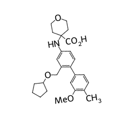 COc1cc(-c2ccc(NC3(C(=O)O)CCOCC3)cc2COC2CCCC2)ccc1C